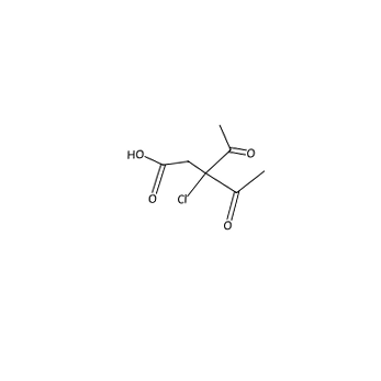 CC(=O)C(Cl)(CC(=O)O)C(C)=O